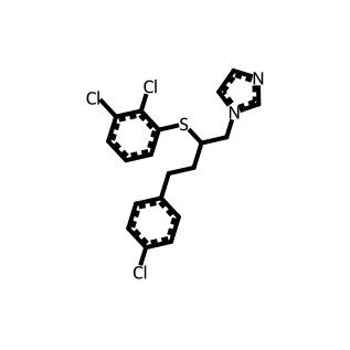 Clc1ccc(CCC(Cn2ccnc2)Sc2cccc(Cl)c2Cl)cc1